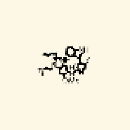 C=C/C=C\C(=O)Nc1cc(Nc2ncc(Cl)c(-c3c[nH]c4ccccc34)n2)c(OC)cc1N(C)CCN(C)C